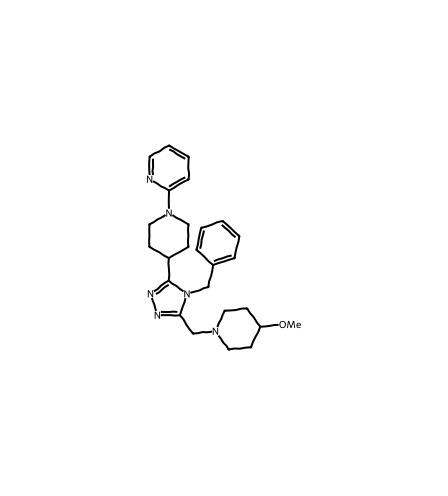 COC1CCN(Cc2nnc(C3CCN(c4ccccn4)CC3)n2Cc2ccccc2)CC1